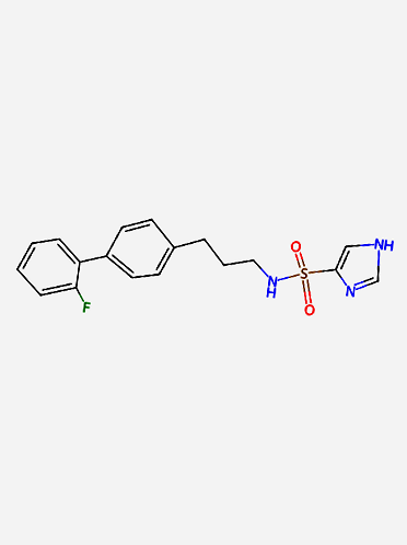 O=S(=O)(NCCCc1ccc(-c2ccccc2F)cc1)c1c[nH]cn1